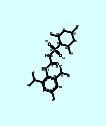 Cc1cc(C(C)C)c(NC(=O)NS(=O)(=O)N2C(C)CC(C)CC2C)c(C(C)C)c1